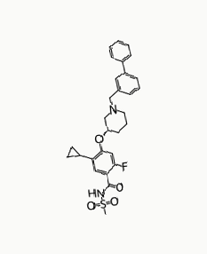 CS(=O)(=O)NC(=O)c1cc(C2CC2)c(O[C@@H]2CCCN(Cc3cccc(-c4ccccc4)c3)C2)cc1F